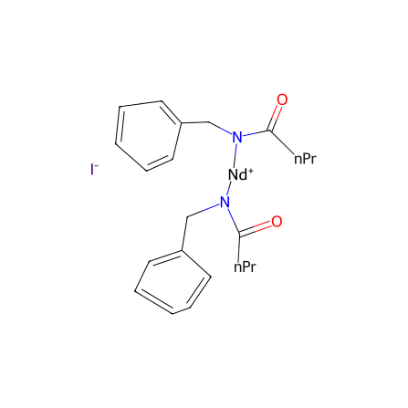 CCCC(=O)[N](Cc1ccccc1)[Nd+][N](Cc1ccccc1)C(=O)CCC.[I-]